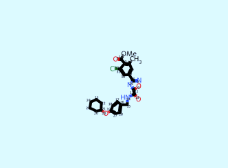 COC(=O)c1c(C)cc(-c2noc(C(=O)NCc3ccc(OC4CCCCC4)cc3)n2)cc1Cl